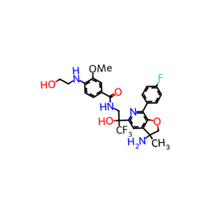 COc1cc(C(=O)NCC(O)(c2cc3c(c(-c4ccc(F)cc4)n2)OCC3(C)N)C(F)(F)F)ccc1NCCO